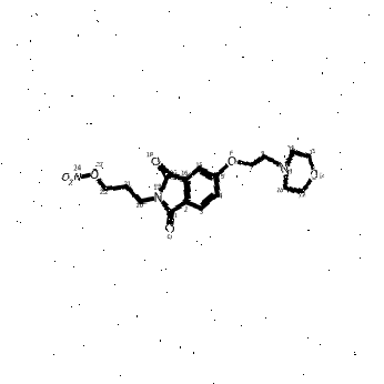 O=C1c2ccc(OCCN3CCOCC3)cc2C(=O)N1CCCO[N+](=O)[O-]